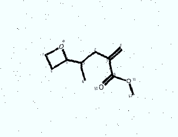 C=C(CC(C)C1CCO1)C(=O)OC